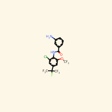 Nc1cccc(C(=O)Nc2c(Cl)cc(C(F)(C(F)(F)F)C(F)(F)F)cc2OC(F)(F)F)c1